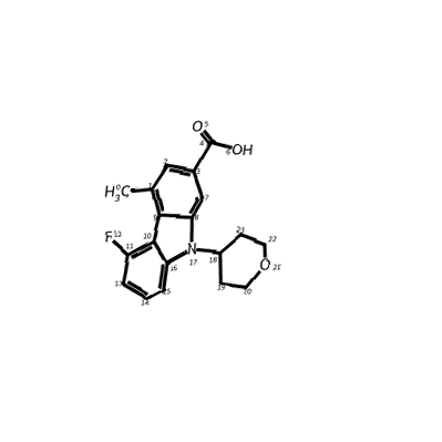 Cc1cc(C(=O)O)cc2c1c1c(F)cccc1n2C1CCOCC1